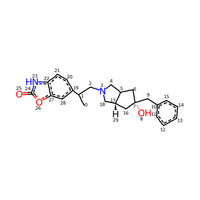 CC(CN1CC2C[C@@](O)(Cc3ccccc3)C[C@@H]2C1)c1ccc2[nH]c(=O)oc2c1